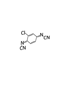 N#C/N=C1C=C/C(=N\C#N)C(Cl)=C\1